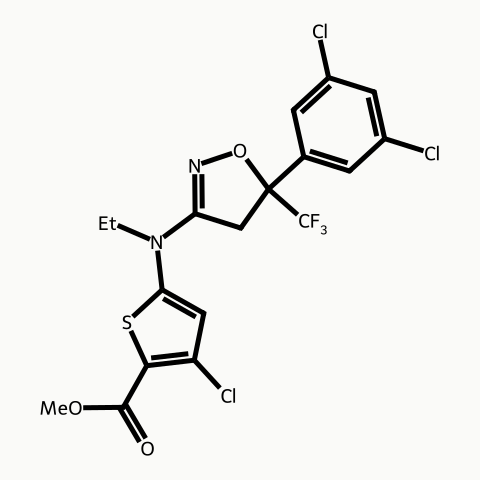 CCN(C1=NOC(c2cc(Cl)cc(Cl)c2)(C(F)(F)F)C1)c1cc(Cl)c(C(=O)OC)s1